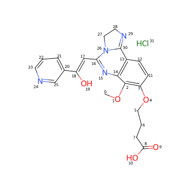 COc1c(OCCCC(=O)O)ccc2c1N=C(/C=C(\O)c1cccnc1)N1CCN=C21.Cl